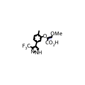 CO/C=C(\Oc1cc(-c2c[nH]nc2C(F)(F)F)ccc1C)C(=O)O